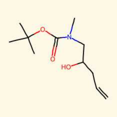 C=CCC(O)CN(C)C(=O)OC(C)(C)C